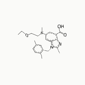 CCOCCN(C)c1cc(C(=O)O)c2nc(C)n(Cc3cc(C)ccc3C)c2c1